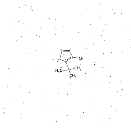 CC(C)(C)C1=C(Cl)C=CC1